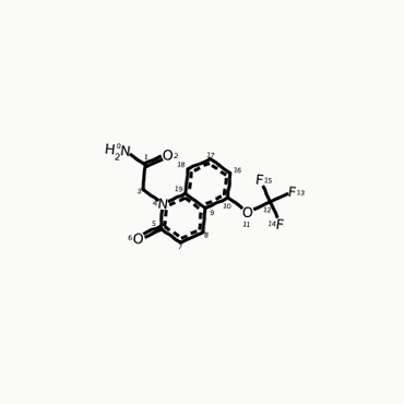 NC(=O)Cn1c(=O)ccc2c(OC(F)(F)F)cccc21